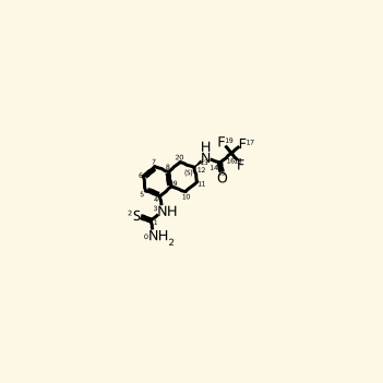 NC(=S)Nc1cccc2c1CC[C@H](NC(=O)C(F)(F)F)C2